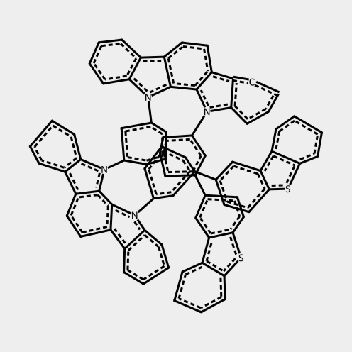 c1cc(-c2ccc3sc4ccccc4c3c2)cc(-n2c3ccccc3c3ccc4c5ccccc5n(-c5cccc(-n6c7ccccc7c7ccc8c9ccccc9n(-c9cccc(-c%10ccc%11sc%12ccccc%12c%11c%10)c9)c8c76)c5)c4c32)c1